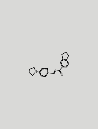 O=C(C=Cc1ccc(N2CCCC2)cc1)c1ccc2c(c1)CCC2